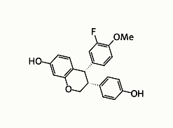 COc1ccc([C@H]2c3ccc(O)cc3OC[C@H]2c2ccc(O)cc2)cc1F